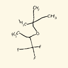 CC(OC(C)(C)C)C(F)(F)F